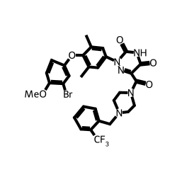 COc1ccc(Oc2c(C)cc(-n3nc(C(=O)N4CCN(Cc5ccccc5C(F)(F)F)CC4)c(=O)[nH]c3=O)cc2C)cc1Br